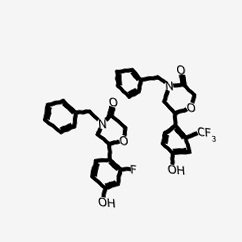 O=C1COC(c2ccc(O)cc2C(F)(F)F)CN1Cc1ccccc1.O=C1COC(c2ccc(O)cc2F)CN1Cc1ccccc1